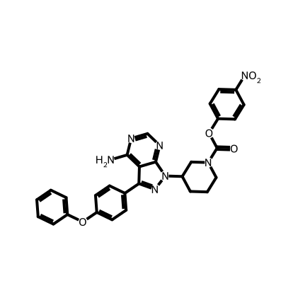 Nc1ncnc2c1c(-c1ccc(Oc3ccccc3)cc1)nn2C1CCCN(C(=O)Oc2ccc([N+](=O)[O-])cc2)C1